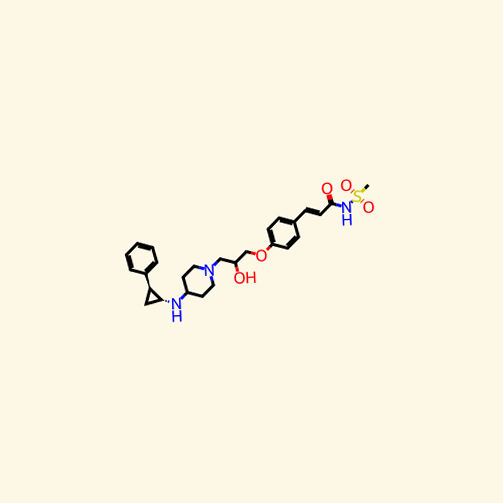 CS(=O)(=O)NC(=O)/C=C/c1ccc(OCC(O)CN2CCC(N[C@@H]3C[C@H]3c3ccccc3)CC2)cc1